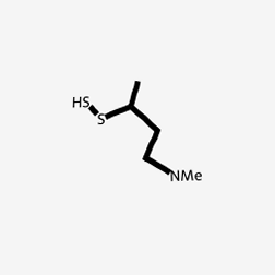 CNCCC(C)SS